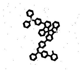 CC1CC=CC=C1c1ccc(/C(=C\c2ccc(-c3ccc4c(c3)C3(c5ccccc5-c5c(-c6ccc(N(c7ccccc7)c7ccccc7)cc6)cccc53)c3c-4sc4ccccc34)cc2)c2ccccc2)cc1